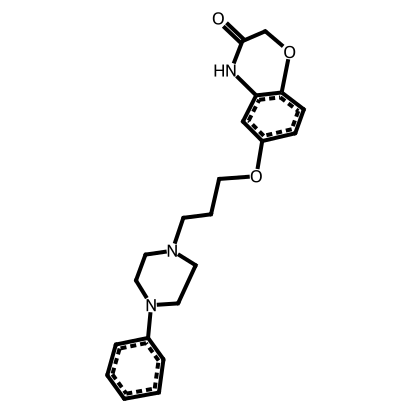 O=C1COc2ccc(OCCCN3CCN(c4ccccc4)CC3)cc2N1